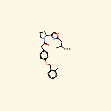 Cc1ccccc1COc1ccc(CC(=O)N2CCCC2c2coc(CC(C)C(=O)O)n2)cc1